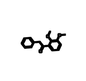 COc1cccc(C(=O)Cc2ccccc2)c1OC